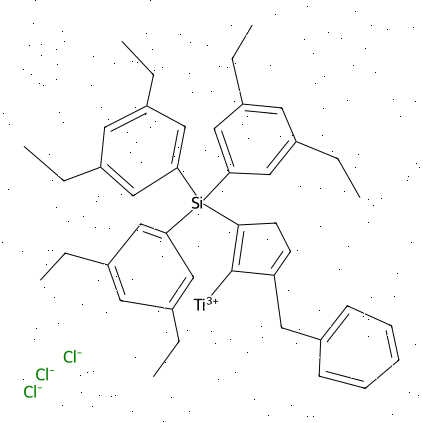 CCc1cc(CC)cc([Si](C2=[C]([Ti+3])C(Cc3ccccc3)=CC2)(c2cc(CC)cc(CC)c2)c2cc(CC)cc(CC)c2)c1.[Cl-].[Cl-].[Cl-]